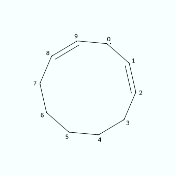 [CH]1C=CCCCCCC=C1